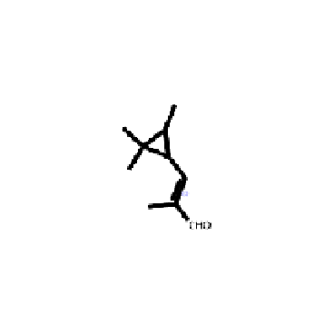 C/C(C=O)=C\C1C(C)C1(C)C